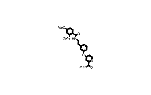 CNC(=O)c1cc(Oc2cccc(CCNC(=O)c3ccc(OC)cc3OC)c2)ccn1